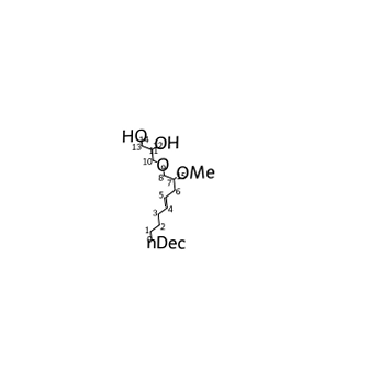 CCCCCCCCCCCCCC=CCC(COCC(O)CO)OC